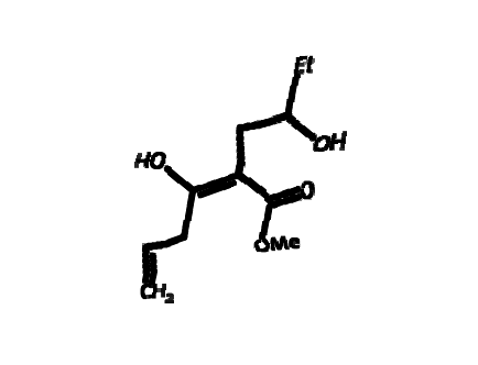 C=CCC(O)=C(CC(O)CC)C(=O)OC